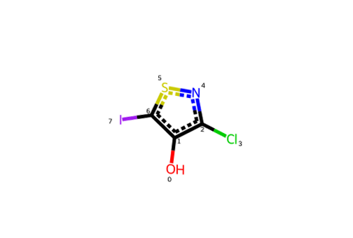 Oc1c(Cl)nsc1I